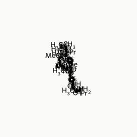 CC[C@H](C)[C@@H]([C@@H](CC(=O)N1CCC[C@H]1[C@H](OC)[C@@H](C)C(=O)N[C@@H](Cc1ccccc1)C(=O)NOCc1ccc(NC(=O)[C@@H](C)NC(=O)[C@H](N)C(C)C)cc1)OC)N(C)C(=O)[C@@H](NC(=O)[C@H](C)N(C)C)C(C)C